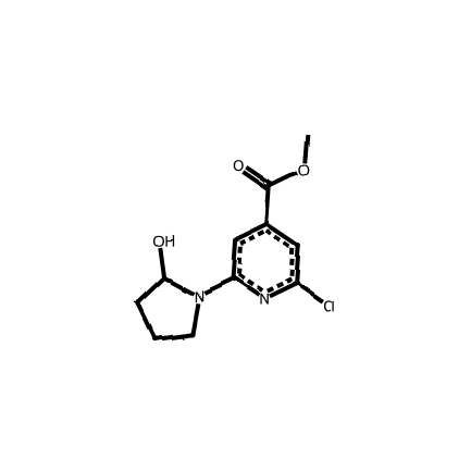 COC(=O)c1cc(Cl)nc(N2CCCC2O)c1